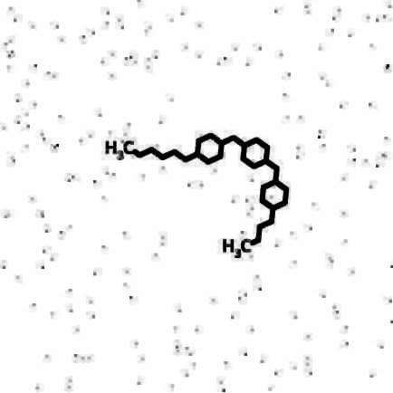 CCCCCCC1CCC(CC2CCC(CC3CCC(CCCC)CC3)CC2)CC1